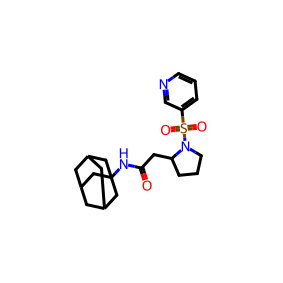 O=C(CC1CCCN1S(=O)(=O)c1cccnc1)NC12CC3CC(CC(C3)C1)C2